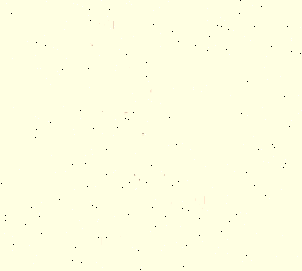 C=CCN(CC=C)CCc1ccc(C=C)cc1